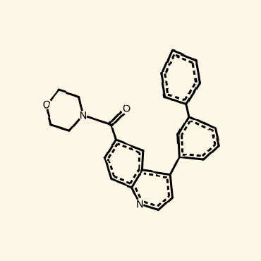 O=C(c1ccc2nccc(-c3cccc(-c4ccccc4)c3)c2c1)N1CCOCC1